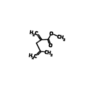 C=C(C)CC(=C)C(=O)OC